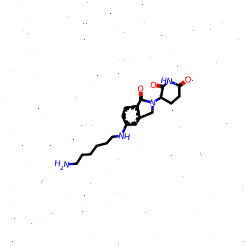 NCCCCCCNc1ccc2c(c1)CN(C1CCC(=O)NC1=O)C2=O